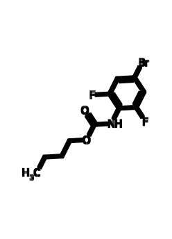 CCCCOC(=O)Nc1c(F)cc(Br)cc1F